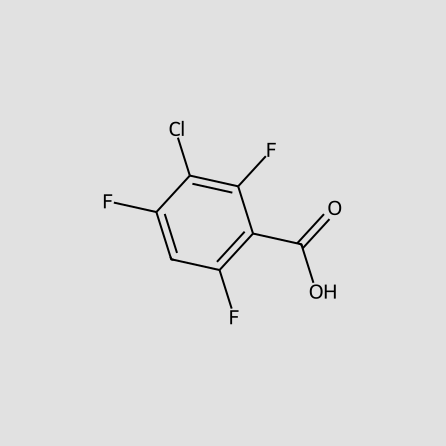 O=C(O)c1c(F)cc(F)c(Cl)c1F